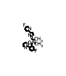 CC(Cn1ccc(-c2ccc(F)cn2)n1)N(C)C(=O)c1cc(F)ccc1-c1ncccn1